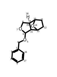 c1ccc(COC2OC[C@H]3C4CCC(O4)C23)cc1